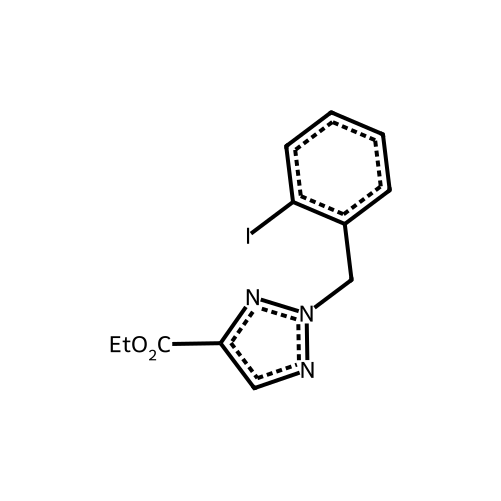 CCOC(=O)c1cnn(Cc2ccccc2I)n1